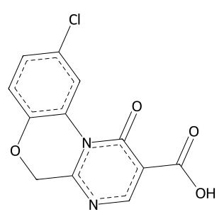 O=C(O)c1cnc2n(c1=O)-c1cc(Cl)ccc1OC2